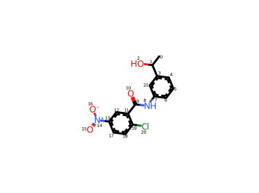 CC(O)c1cccc(NC(=O)c2cc([N+](=O)[O-])ccc2Cl)c1